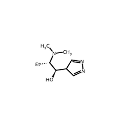 CC[C@@H]([C@H](O)C1C=NN=C1)N(C)C